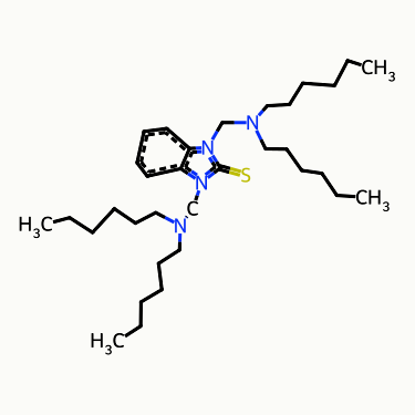 CCCCCCN(CCCCCC)Cn1c(=S)n(CN(CCCCCC)CCCCCC)c2ccccc21